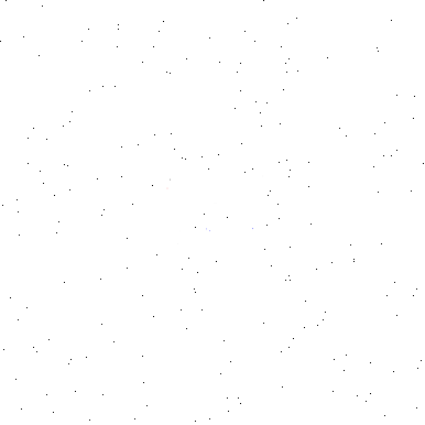 Cn1cnc(Cl)c1CO